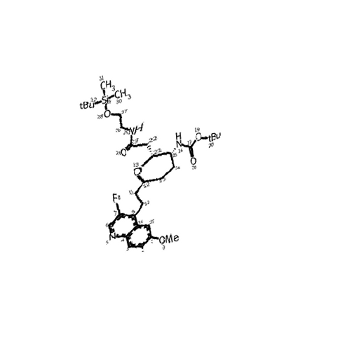 COc1ccc2ncc(F)c(CC[C@@H]3CC[C@@H](NC(=O)OC(C)(C)C)[C@@H](CC(=O)NCCO[Si](C)(C)C(C)(C)C)O3)c2c1